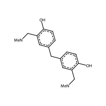 CNCc1cc(Cc2ccc(O)c(CNC)c2)ccc1O